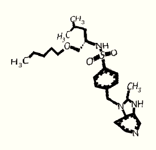 CCCCCOC[C@H](CC(C)C)NS(=O)(=O)c1ccc(CN2c3ccncc3NC2C)cc1